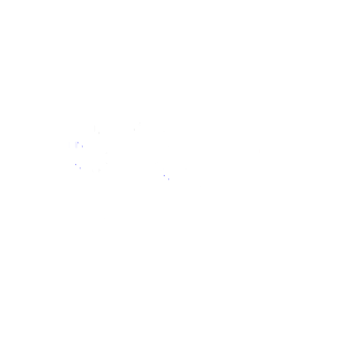 Cc1[nH]nc2c1-c1c(F)ccc3c(CCCO)c(C=O)n(c13)CCCCOC2